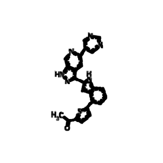 CC(=O)c1ccc(-c2cccc3[nH]c(-c4n[nH]c5cnc(-c6cncnc6)cc45)cc23)s1